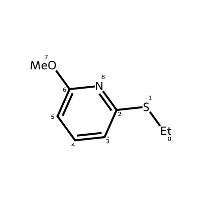 CCSc1[c]ccc(OC)n1